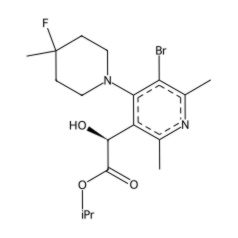 Cc1nc(C)c([C@H](O)C(=O)OC(C)C)c(N2CCC(C)(F)CC2)c1Br